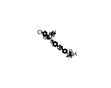 Cc1n[nH]c(=O)n1-c1ccc(N2CCN(c3ccc(OC[C@@H]4CO[C@@](Cn5cncn5)(c5ccc(Cl)cc5Cl)O4)cc3)CC2)cc1